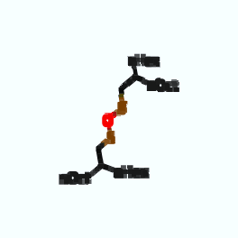 CCCCCCCCC(CCCCCC)CSOSCC(CCCCCC)CCCCCCCC